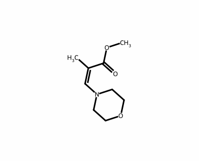 COC(=O)C(C)=CN1CCOCC1